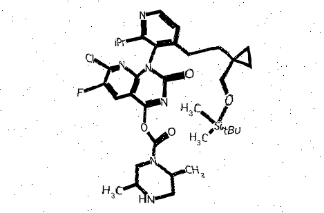 CC1CN(C(=O)Oc2nc(=O)n(-c3c(CCC4(CO[Si](C)(C)C(C)(C)C)CC4)ccnc3C(C)C)c3nc(Cl)c(F)cc23)C(C)CN1